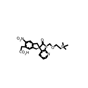 C[Si](C)(C)CCOCN1C(=O)[C@]2(Cc3cc(CC(=O)O)c([N+](=O)[O-])cc3C2)c2cccnc21